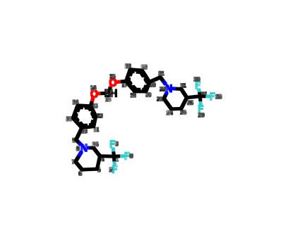 FC(F)(F)C1CCCN(Cc2ccc(OBOc3ccc(CN4CCCC(C(F)(F)F)C4)cc3)cc2)C1